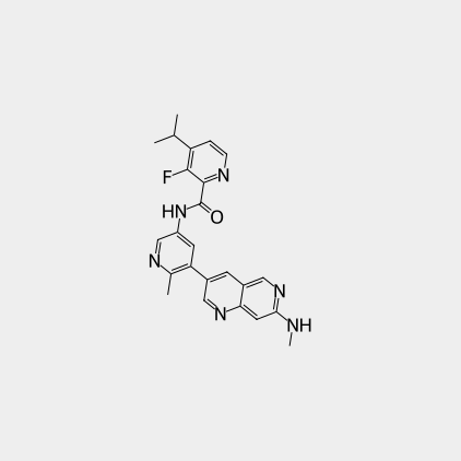 CNc1cc2ncc(-c3cc(NC(=O)c4nccc(C(C)C)c4F)cnc3C)cc2cn1